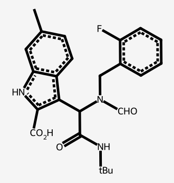 Cc1ccc2c(C(C(=O)NC(C)(C)C)N(C=O)Cc3ccccc3F)c(C(=O)O)[nH]c2c1